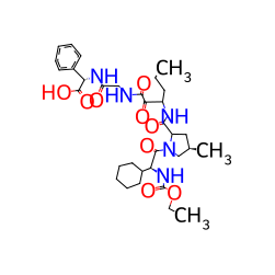 CCCC(NC(=O)C1C[C@@H](C)CN1C(=O)[C@@H](NC(=O)OCC)C1CCCCC1)C(=O)C(=O)NCC(=O)N[C@H](C(=O)O)c1ccccc1